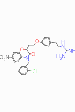 N=C(N)NCCc1ccc(OCCC2Oc3cc([N+](=O)[O-])ccc3N(Cc3ccccc3Cl)C2=O)cc1